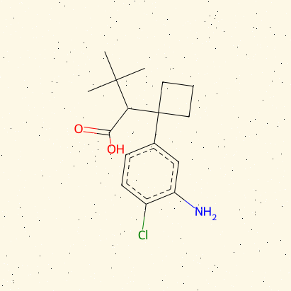 CC(C)(C)C(C(=O)O)C1(c2ccc(Cl)c(N)c2)CCC1